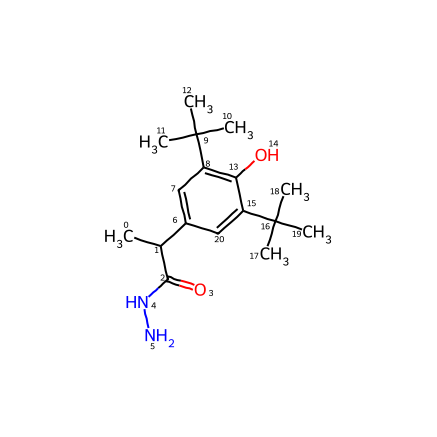 CC(C(=O)NN)c1cc(C(C)(C)C)c(O)c(C(C)(C)C)c1